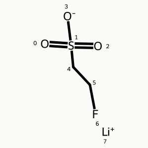 O=S(=O)([O-])CCF.[Li+]